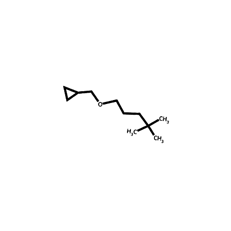 CC(C)(C)CCCOCC1CC1